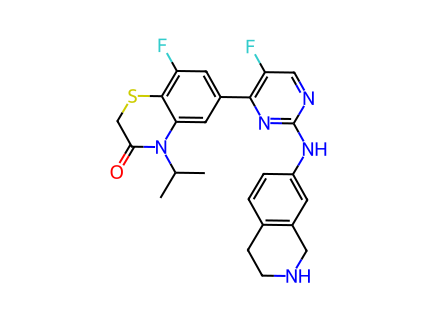 CC(C)N1C(=O)CSc2c(F)cc(-c3nc(Nc4ccc5c(c4)CNCC5)ncc3F)cc21